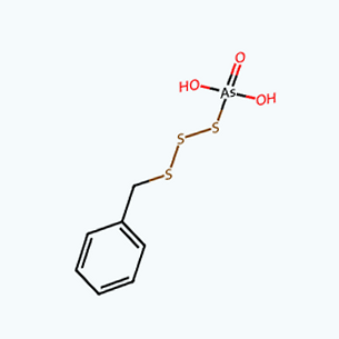 O=[As](O)(O)SSSCc1ccccc1